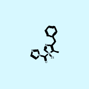 CC[N+]1(C(=O)n2ccnc2)C=NC(Cc2ccccc2)=C1C